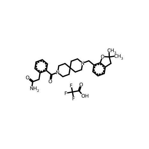 CC1(C)Cc2cccc(CN3CCC4(CC3)CCN(C(=O)c3ccccc3CC(N)=O)CC4)c2O1.O=C(O)C(F)(F)F